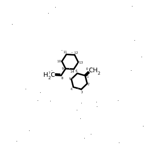 C=C1CCCCC1.C=CC1CCCCC1